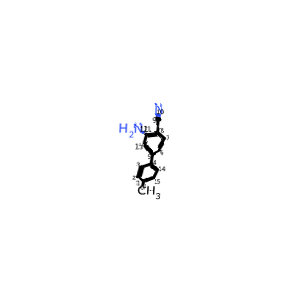 Cc1ccc(-c2ccc(C#N)c(N)c2)cc1